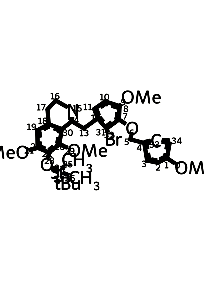 COc1ccc(COc2c(OC)ccc(CC3=NCCc4cc(OC)c(O[Si](C)(C)C(C)(C)C)c(OC)c43)c2Br)cc1